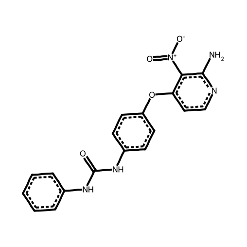 Nc1nccc(Oc2ccc(NC(=O)Nc3ccccc3)cc2)c1[N+](=O)[O-]